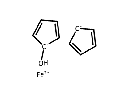 O[c-]1cccc1.[Fe+2].c1cc[cH-]c1